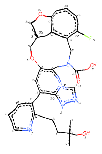 CC(C)(O)CCc1ncccc1-c1cc2c(n3cnnc13)N(C(=O)O)Cc1c(F)ccc3c1[C@@H](CO3)CO2